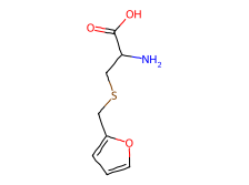 NC(CSCc1ccco1)C(=O)O